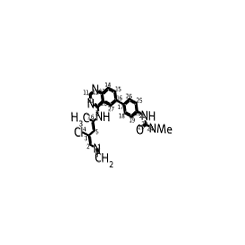 C=N/C=C(Cl)\C=C(/C)Nc1ncnc2ccc(-c3ccc(NC(=O)NC)cc3)cc12